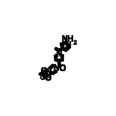 CC(c1ccnc(N)c1)N1CCC(C(=O)N2CCN(S(=O)(=O)N(C)C)CC2)CC1